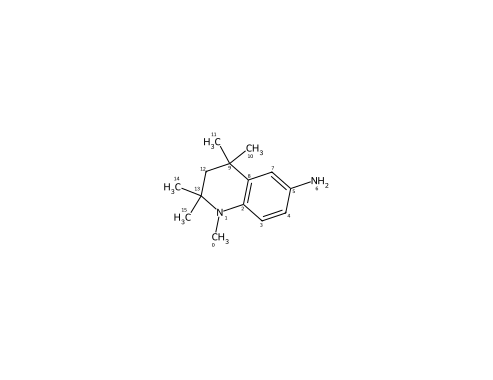 CN1c2ccc(N)cc2C(C)(C)CC1(C)C